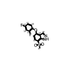 CS(=O)(=O)c1ccc(Oc2ccc(F)cc2F)c2cn[nH]c12